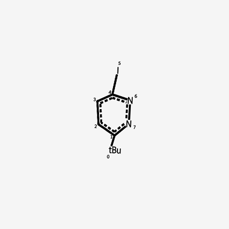 CC(C)(C)c1ccc(I)nn1